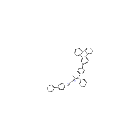 C/C(=C\C=C\c1ccc(C2=CCCC=C2)cc1)N(c1ccccc1)c1ccc(-c2ccc3c4c(c5ccccc5c3c2)=CCCC=4)cc1